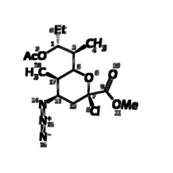 CC[C@@H](OC(C)=O)[C@@H](C)C1O[C@](Cl)(C(=O)OC)C[C@@H](N=[N+]=[N-])[C@H]1C